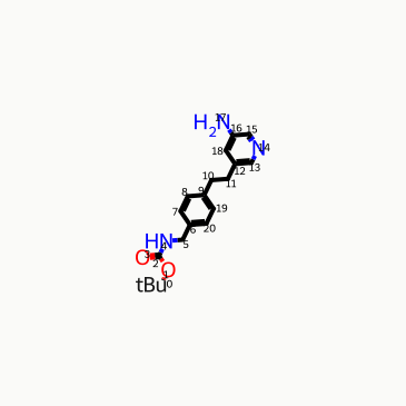 CC(C)(C)OC(=O)NCc1ccc(CCc2cncc(N)c2)cc1